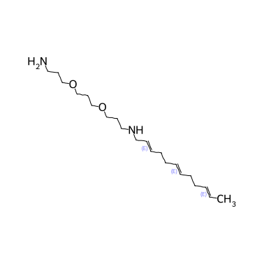 C/C=C/CC/C=C/CC/C=C/CNCCCOCCCOCCCN